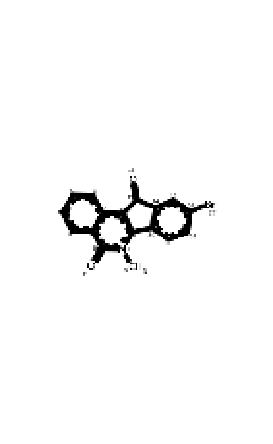 Cn1c2c(c3ccccc3c1=O)C(=O)c1cc(Br)ccc1-2